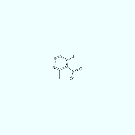 Cc1nccc(F)c1[N+](=O)[O-]